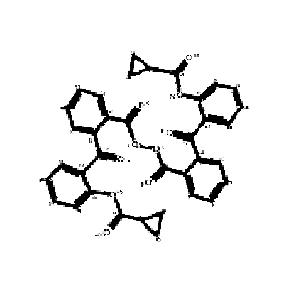 O=C(OOC(=O)c1ccccc1C(=O)c1ccccc1OC(=O)C1CC1)c1ccccc1C(=O)c1ccccc1OC(=O)C1CC1